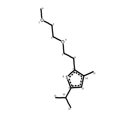 COCCOCCc1sc(C(C)C)cc1C